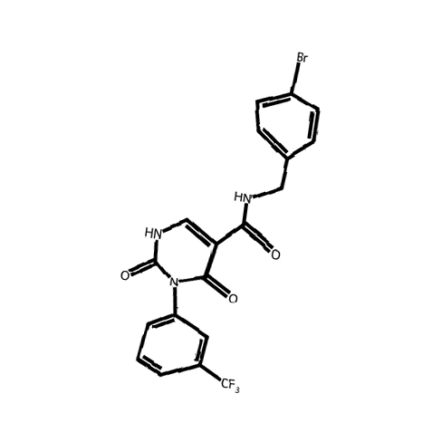 O=C(NCc1ccc(Br)cc1)c1c[nH]c(=O)n(-c2cccc(C(F)(F)F)c2)c1=O